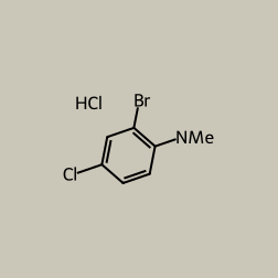 CNc1ccc(Cl)cc1Br.Cl